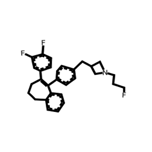 FCCCN1CC(Cc2ccc(C3=C(c4ccc(F)c(F)c4)CCCc4ccccc43)cc2)C1